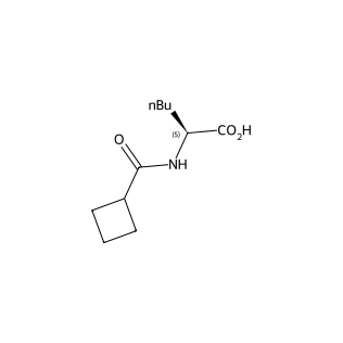 CCCC[C@H](NC(=O)C1CCC1)C(=O)O